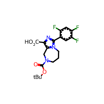 CC(C)(C)OC(=O)N1CCCn2c(-c3cc(F)c(F)cc3F)nc(C(=O)O)c2C1